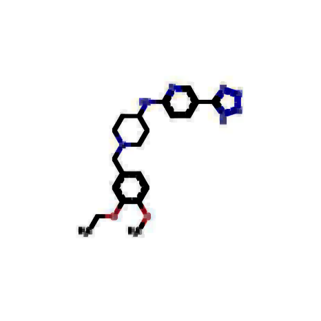 CCOc1cc(CN2CCC(Nc3ccc(-c4nnn[nH]4)cn3)CC2)ccc1OC